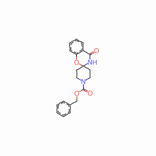 O=C1NC2(CCN(C(=O)OCc3ccccc3)CC2)Oc2ccccc21